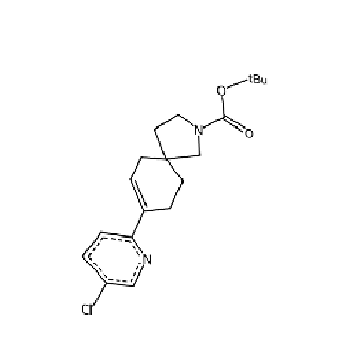 CC(C)(C)OC(=O)N1CCC2(CC=C(c3ccc(Cl)cn3)CC2)C1